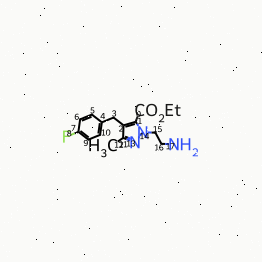 CCOC(=O)c1c(Cc2ccc(F)cc2)c(C)nn1CCN